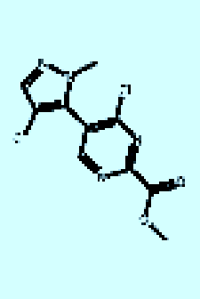 COC(=O)c1ncc(-c2c(Cl)cnn2C)c(Cl)n1